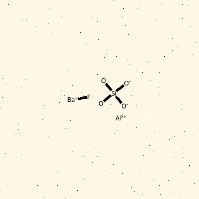 [Al+3].[F][Ba+].[O-][Si]([O-])([O-])[O-]